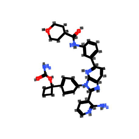 NC(=O)OC1(c2ccc(-n3c(-c4cccnc4N)nc4ccc(-c5cccc(NC(=O)C6CCOCC6)c5)nc43)cc2)CCC1